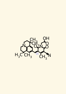 CC1=C(C#N)C(=O)N(CC(=O)O)C(=O)/C1=C\c1cc2c3c(c1)C(C)(C)CCN3CCC2(C)C